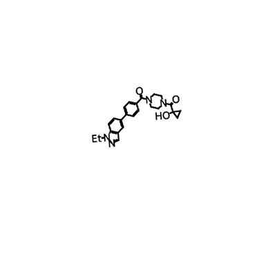 CCn1ncc2cc(-c3ccc(C(=O)N4CCN(C(=O)C5(O)CC5)CC4)cc3)ccc21